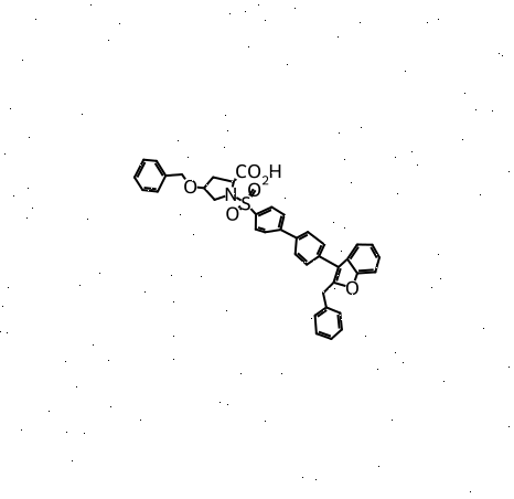 O=C(O)[C@@H]1CC(OCc2ccccc2)CN1S(=O)(=O)c1ccc(-c2ccc(-c3c(Cc4ccccc4)oc4ccccc34)cc2)cc1